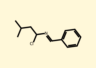 CC(C)CC(Cl)N=Cc1ccccc1